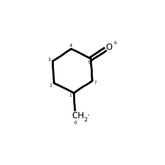 [CH2]C1CCCC(=O)C1